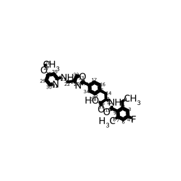 CCc1cc(F)cc(C)c1C(=O)NC(Cc1ccc(-c2nc(CNc3cc(OC)ccn3)co2)cc1)C(=O)O